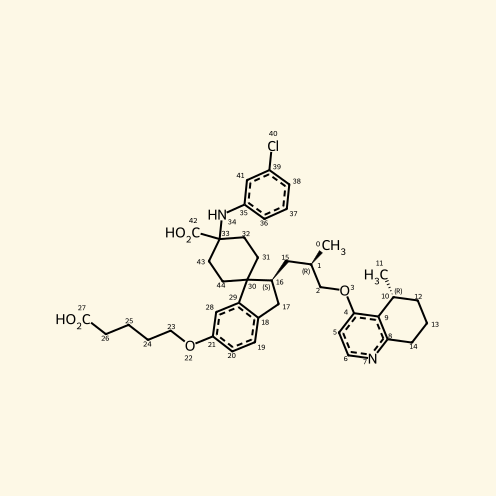 C[C@@H](COc1ccnc2c1[C@H](C)CCC2)C[C@H]1Cc2ccc(OCCCCC(=O)O)cc2C12CCC(Nc1cccc(Cl)c1)(C(=O)O)CC2